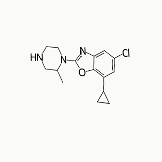 CC1CNCCN1c1nc2cc(Cl)cc(C3CC3)c2o1